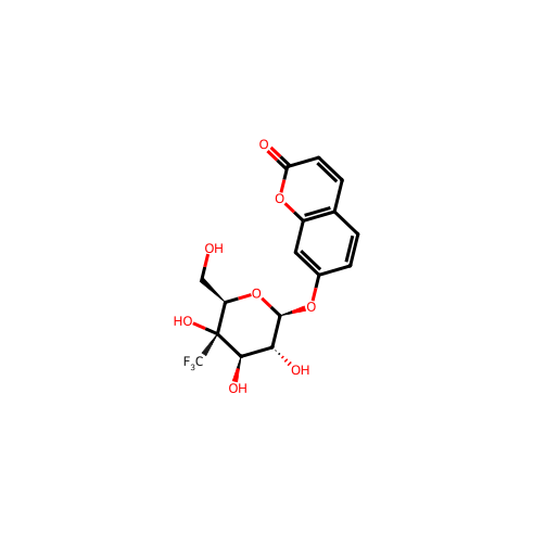 O=c1ccc2ccc(O[C@@H]3O[C@H](CO)[C@](O)(C(F)(F)F)[C@H](O)[C@H]3O)cc2o1